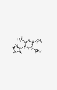 [CH2]c1cc(-c2nccs2)c(C)cc1C